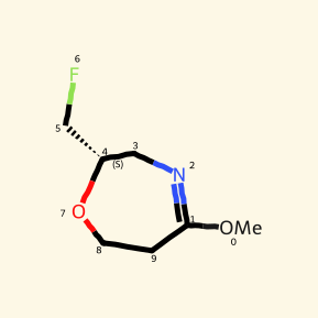 COC1=NC[C@@H](CF)OCC1